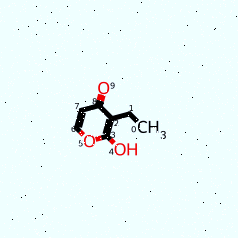 CCc1c(O)occc1=O